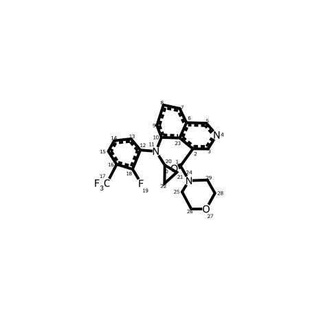 O=C(c1cncc2cccc(N(c3cccc(C(F)(F)F)c3F)C3CC3)c12)N1CCOCC1